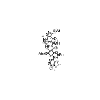 CCCCOc1noc2c1C(=O)[C@@]1(O)C(O)=C3C(=O)c4c(c(OC)cc(NC(=O)[C@@H]5CCCN5C(=O)C(F)(F)F)c4OCCCC)C[C@H]3C[C@H]1[C@@H]2N(C)C